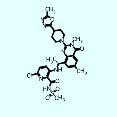 Cc1cc([C@@H](C)Nc2ccc(Cl)nc2C(=O)NS(C)(=O)=O)c2nc(N3CCC(c4nnc(C)o4)CC3)n(C)c(=O)c2c1